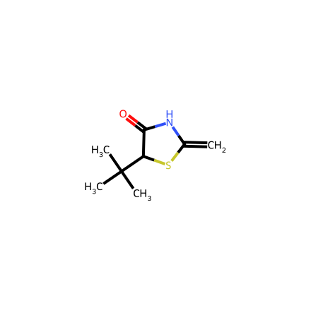 C=C1NC(=O)C(C(C)(C)C)S1